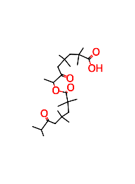 CC(C)C(=O)CC(C)(C)CC(C)(C)C(=O)OC(C)C(=O)CC(C)(C)CC(C)(C)C(=O)O